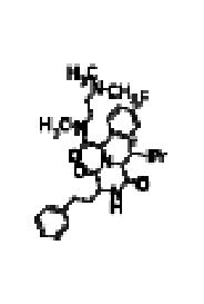 CC(C)CC1C(=O)NC(CCc2ccccc2)C(=O)N1C(C(=O)N(C)CCN(C)C)c1ccc(F)cc1F